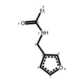 CCC(=O)NCc1ccoc1